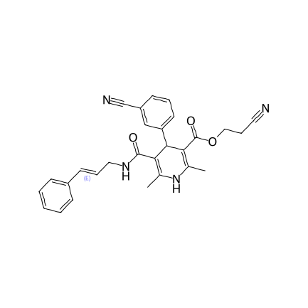 CC1=C(C(=O)NC/C=C/c2ccccc2)C(c2cccc(C#N)c2)C(C(=O)OCCC#N)=C(C)N1